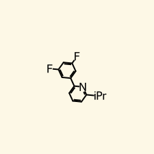 CC(C)c1cccc(-c2cc(F)cc(F)c2)n1